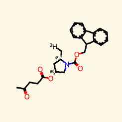 [2H]C[C@@H]1C[C@@H](OC(=O)CCC(C)=O)CN1C(=O)OCC1c2ccccc2-c2ccccc21